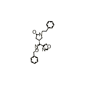 O=C1C[C@H](C(=NOCc2ccccc2)c2cocn2)CN1CCc1ccccc1